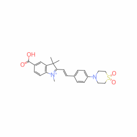 C[N+]1=C(/C=C/c2ccc(N3CCS(=O)(=O)CC3)cc2)C(C)(C)c2cc(C(=O)O)ccc21